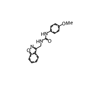 COc1ccc(NC(=O)NCc2noc3ccccc23)cc1